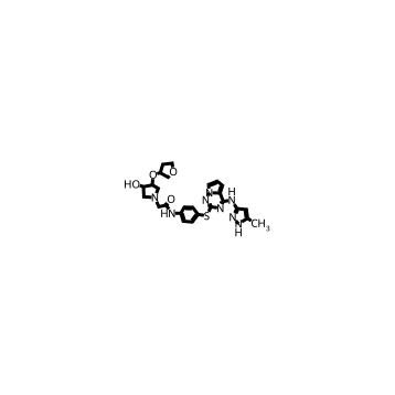 Cc1cc(Nc2nc(Sc3ccc(NC(=O)CN4CC(O)C(OC5CCOC5)C4)cc3)nn3cccc23)n[nH]1